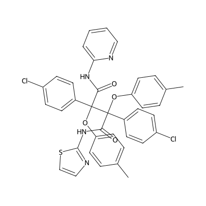 Cc1ccc(OC(C(=O)Nc2ccccn2)(c2ccc(Cl)cc2)C(Oc2ccc(C)cc2)(C(=O)Nc2nccs2)c2ccc(Cl)cc2)cc1